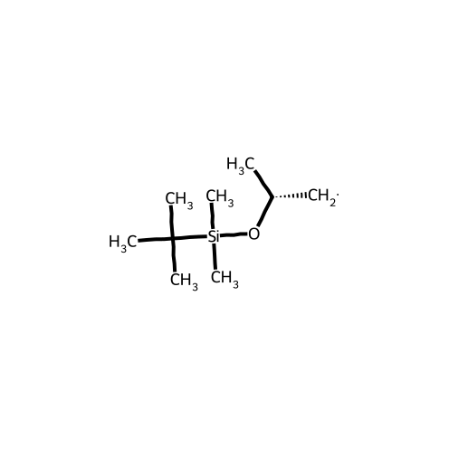 [CH2][C@@H](C)O[Si](C)(C)C(C)(C)C